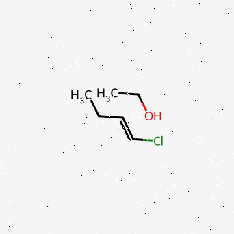 CC/C=C/Cl.CCO